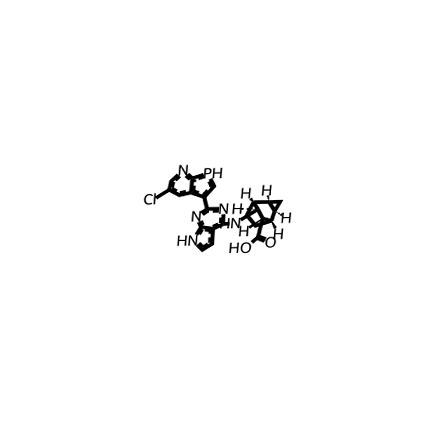 O=C(O)[C@H]1[C@H]2CC[C@H]([C@H]3C[C@H]32)[C@@H]1Nc1nc(-c2c[pH]c3ncc(Cl)cc23)nc2[nH]ccc12